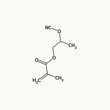 C=C(C)C(=O)OCC(C)OC#N